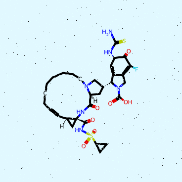 NC(=S)N[C@H]1C=C2C(=C(F)C1=O)CN(C(=O)O)C2[C@@H]1C[C@H]2C(=O)N[C@]3(C(=O)NS(=O)(=O)C4CC4)C[C@H]3/C=C\CCCCCCCN2C1